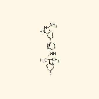 CC(C)(CNc1ccc(-c2ccc3c(N)n[nH]c3c2)nn1)c1ccc(F)cn1